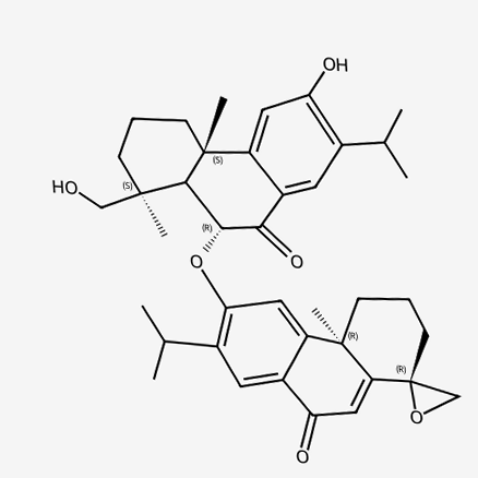 CC(C)c1cc2c(cc1O)[C@@]1(C)CCC[C@](C)(CO)C1[C@@H](Oc1cc3c(cc1C(C)C)C(=O)C=C1[C@]4(CCC[C@@]13C)CO4)C2=O